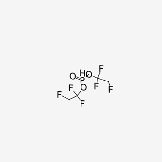 O=[PH](OC(F)(F)CF)OC(F)(F)CF